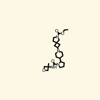 CCOC(=O)N1CCC2(CC(N3CCC(C4CCCN4C(=O)NC4(C)COC4)CC3)C2)C1